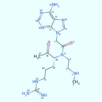 CNCCN(C(=O)Cn1cnc2c(N)ncnc21)[C@H](CCCNC(=N)N)C(C)=O